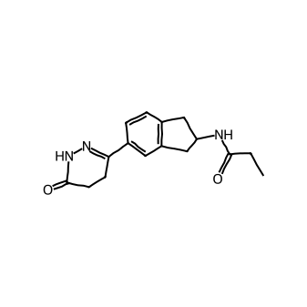 CCC(=O)NC1Cc2ccc(C3=NNC(=O)CC3)cc2C1